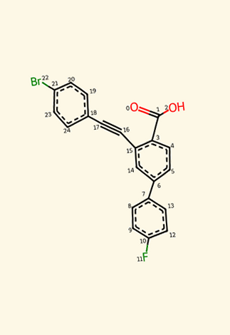 O=C(O)c1ccc(-c2ccc(F)cc2)cc1C#Cc1ccc(Br)cc1